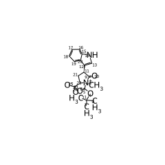 CC(C)(C)OC(=O)[N+]1(C)C(=O)[C@H](c2c[nH]c3ccccc23)C[C@@H]1C(=O)[O-]